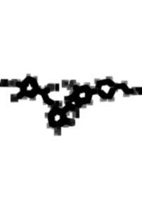 COc1ccc(C(O)CNc2cc[nH]c(=O)c2-c2nc3c(C)cc(N4CCN(CCC#N)CC4)cc3[nH]2)cc1Br